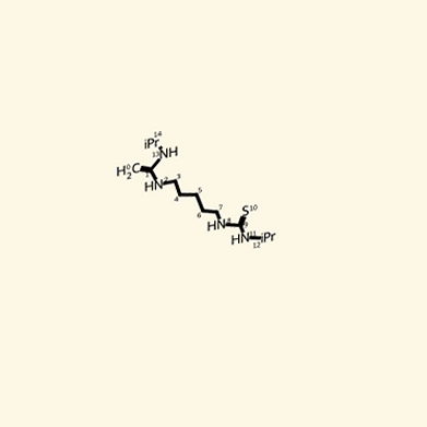 C=C(NCCCCCNC(=S)NC(C)C)NC(C)C